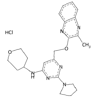 Cc1nc2ccccc2nc1OCc1cc(NC2CCOCC2)nc(N2CCCC2)n1.Cl